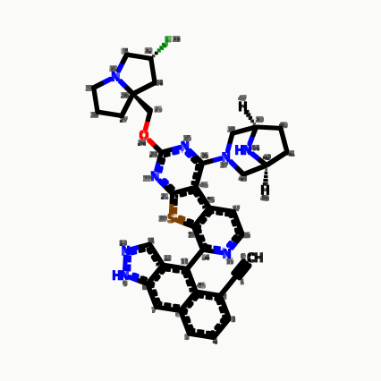 C#Cc1cccc2cc3[nH]ncc3c(-c3nccc4c3sc3nc(OC[C@@]56CCCN5C[C@H](F)C6)nc(N5C[C@H]6CC[C@@H](C5)N6)c34)c12